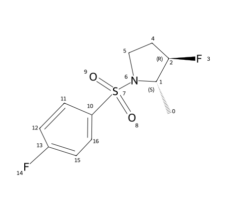 C[C@H]1[C@H](F)CCN1S(=O)(=O)c1ccc(F)cc1